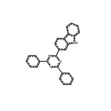 c1ccc(-c2nc(-c3ccccc3)nc(-c3ccc4c(c3)[nH]c3ccccc34)n2)cc1